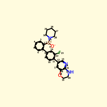 [O-][S+](c1ccccc1-c1ccc(-c2cnc3c(c2)OCCN3)c(F)c1)N1CCCCC1